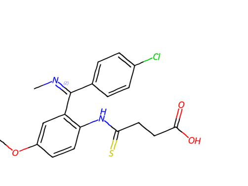 C/N=C(/c1ccc(Cl)cc1)c1cc(OC)ccc1NC(=S)CCC(=O)O